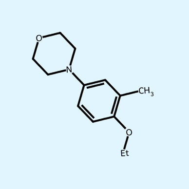 CCOc1ccc(N2CCOCC2)cc1C